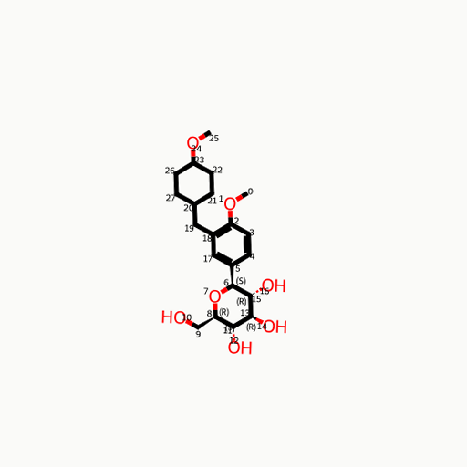 COc1ccc([C@@H]2O[C@H](CO)[C@@H](O)[C@H](O)[C@H]2O)cc1CC1CCC(OC)CC1